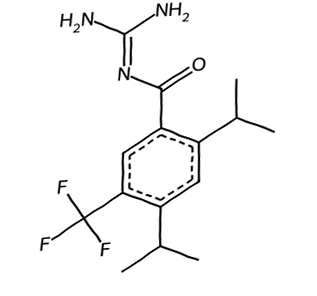 CC(C)c1cc(C(C)C)c(C(F)(F)F)cc1C(=O)N=C(N)N